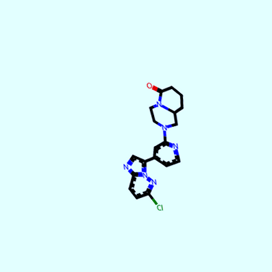 O=C1CCCC2CN(c3cc(-c4cnc5ccc(Cl)nn45)ccn3)CCN12